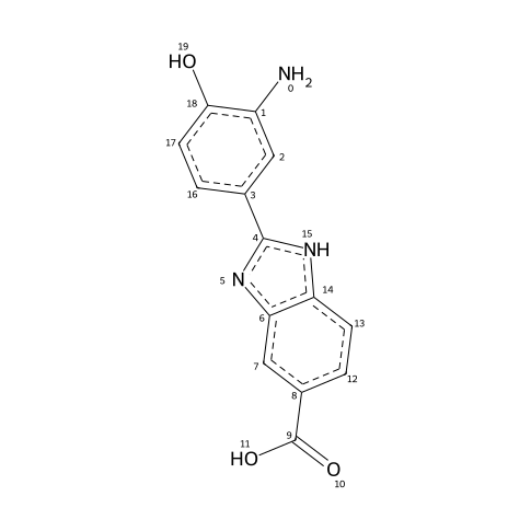 Nc1cc(-c2nc3cc(C(=O)O)ccc3[nH]2)ccc1O